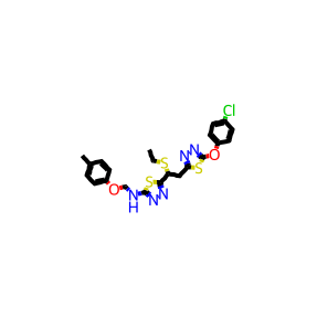 CCSC(Cc1nnc(Oc2ccc(Cl)cc2)s1)c1nnc(NCOc2ccc(C)cc2)s1